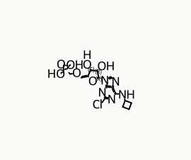 O=P(O)(O)COC=C1O[C@@H](n2cnc3c(NC4CCC4)nc(Cl)nc32)[C@H](O)[C@@H]1O